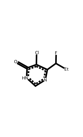 CCC(F)c1nc[nH]c(=O)c1Cl